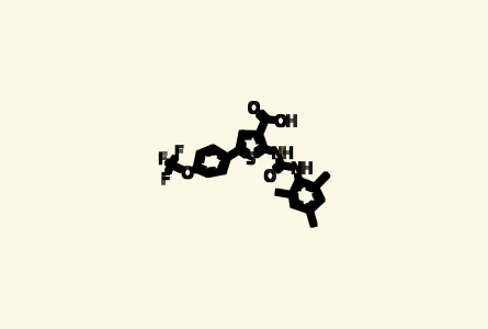 Cc1cc(C)c(NC(=O)Nc2sc(-c3ccc(OC(F)(F)F)cc3)cc2C(=O)O)c(C)c1